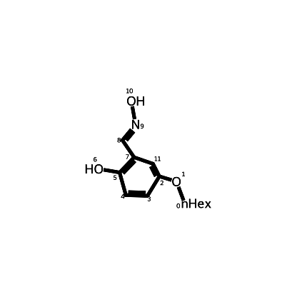 CCCCCCOc1ccc(O)c(C=NO)c1